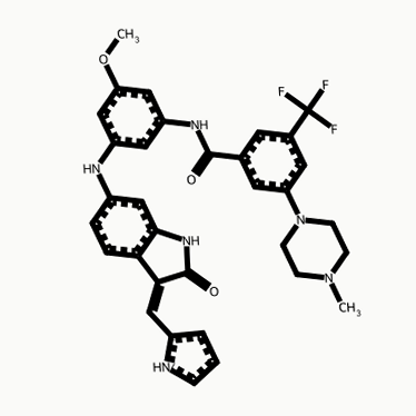 COc1cc(NC(=O)c2cc(N3CCN(C)CC3)cc(C(F)(F)F)c2)cc(Nc2ccc3c(c2)NC(=O)C3=Cc2ccc[nH]2)c1